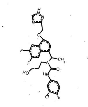 CC(c1ccc(OCc2nc[nH]n2)c2cc(F)c(F)cc12)N(CCCO)C(=O)Nc1ccc(F)c(Cl)c1